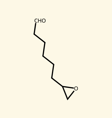 O=CCCCCCC1CO1